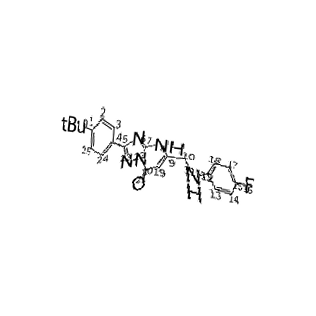 CC(C)(C)c1ccc(-c2nc3[nH]c(CNc4ccc(F)cc4)cc(=O)n3n2)cc1